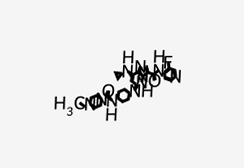 CCN1CCN(C(=O)NC2CCC(Nc3cc(NC4CC4)c4ncc(C(=O)Nc5ccncc5F)n4n3)CC2)CC1